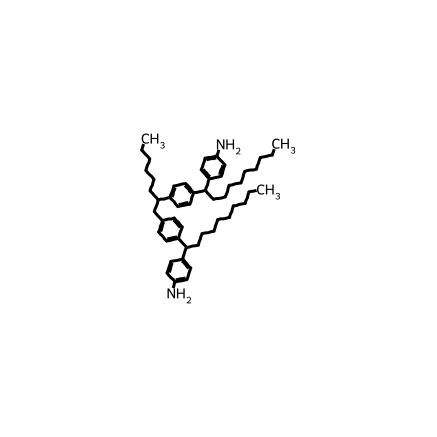 CCCCCCCCCC(c1ccc(N)cc1)c1ccc(CC(CCCCCC)c2ccc(C(CCCCCCCCC)c3ccc(N)cc3)cc2)cc1